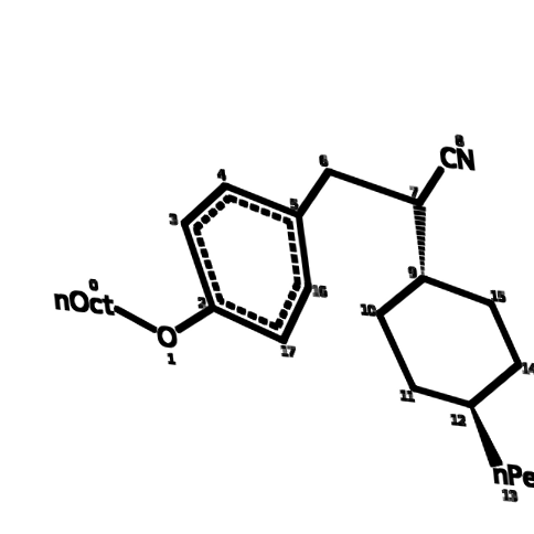 CCCCCCCCOc1ccc(CC(C#N)[C@H]2CC[C@H](CCCCC)CC2)cc1